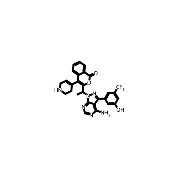 CC(c1oc(=O)c2ccccc2c1C1=CCNCC1)n1nc(-c2cc(O)cc(C(F)(F)F)c2)c2c(N)ncnc21